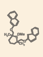 CON1C(C)(COc2ccc3ccccc3c2)CCCC1(C)COc1ccc2ccccc2c1